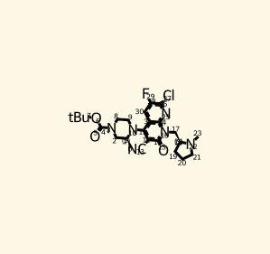 C[C@H]1CN(C(=O)OC(C)(C)C)CCN1c1c(C#N)c(=O)n(C[C@@H]2CCCN2C)c2nc(Cl)c(F)cc12